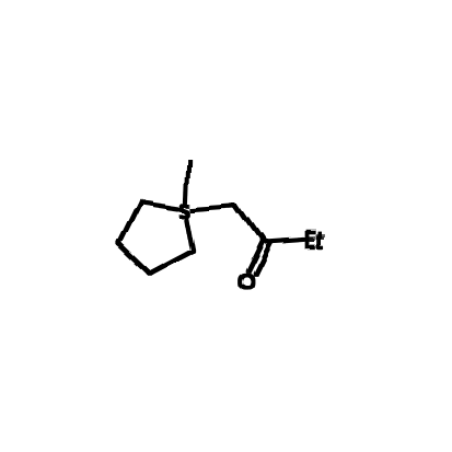 CCC(=O)CS1(C)CCCC1